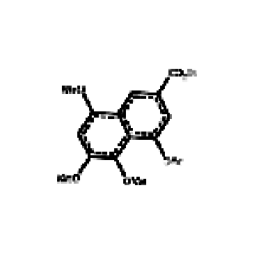 CCOC(=O)c1cc(OC(C)=O)c2c(OC)c(OC)cc(OC)c2c1